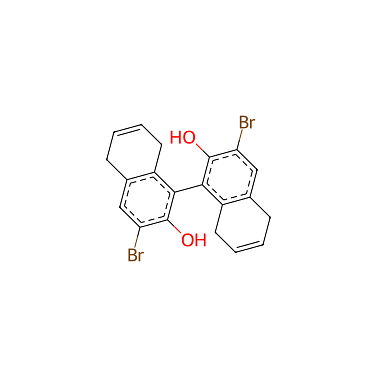 Oc1c(Br)cc2c(c1-c1c(O)c(Br)cc3c1CC=CC3)CC=CC2